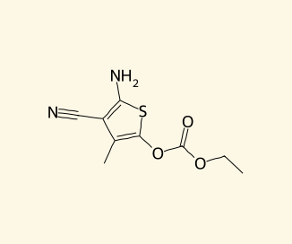 CCOC(=O)Oc1sc(N)c(C#N)c1C